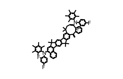 C=C1c2ccccc2/C(N(c2ccc(F)cc2F)c2c(C)c(C)c(C)c(C)c2C)=C\CC(C)(C)c2cc3c(cc21)C(C)(C)c1cc2c(cc1-3)C(C)(C)c1cc(N(c3ccc(F)cc3F)c3c(C)c(C)c(C)c(C)c3C)c3ccccc3c1-2